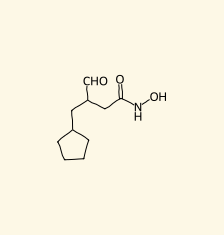 O=CC(CC(=O)NO)CC1CCCC1